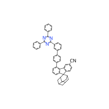 N#Cc1ccc2c(c1)-c1c(-c3ccc(-c4cccc(-c5nc(-c6ccccc6)nc(-c6ccccc6)n5)c4)cc3)cccc1C21C2CC3CC(C2)CC1C3